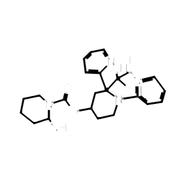 CC(C)(C)C1(c2ccccn2)CC(OC(=O)N2CCCCC2N)CCN1c1ccccn1